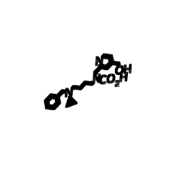 O=C(O)N(CCCCN(Cc1ccccc1)C1CC1)Cc1cc(CO)ccn1